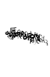 Cc1c(-c2nc3cc(COC(=O)[C@@H]4CCCN4)c(OC(F)F)cc3o2)cccc1-c1cccc(-c2nc3cc(CN4CC(C)C(N(C)C)C4)cc(C#N)c3o2)c1C